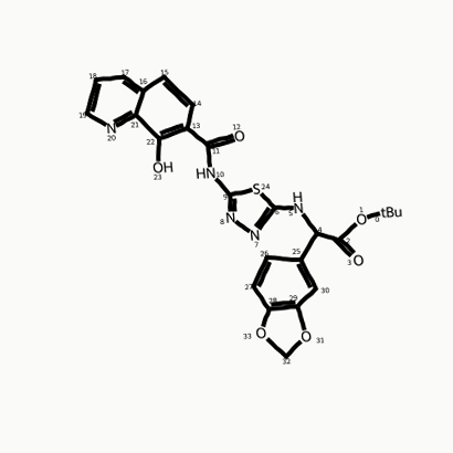 CC(C)(C)OC(=O)C(Nc1nnc(NC(=O)c2ccc3cccnc3c2O)s1)c1ccc2c(c1)OCO2